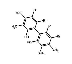 Cc1c(C)c(Br)c(Br)c(-c2c(O)c(C)c(C)c(Br)c2Br)c1O